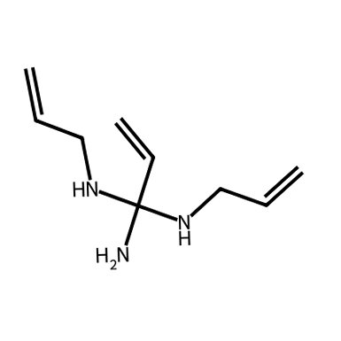 C=CCNC(N)(C=C)NCC=C